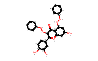 O=c1c(OOc2ccccc2)c(-c2ccc(O)c(O)c2)oc2cc(O)cc(OOc3ccccc3)c12